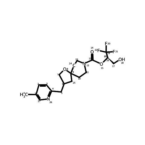 Cc1ccc(CC2COC3(CCN(C(=O)O[C@H](CO)C(F)(F)F)CC3)C2)nc1